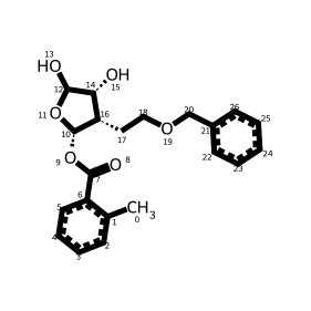 Cc1ccccc1C(=O)O[C@@H]1OC(O)[C@H](O)[C@@H]1CCOCc1ccccc1